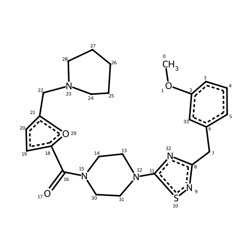 COc1cccc(Cc2nsc(N3CCN(C(=O)c4ccc(CN5CCCCC5)o4)CC3)n2)c1